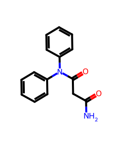 NC(=O)CC(=O)N(c1ccccc1)c1ccccc1